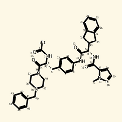 CCC(=O)N[C@H](Cc1ccc(NC(=O)[C@@H](NC(=O)c2ccnn2C)C2Cc3ccccc3C2)cc1)C(=O)N1CCN(Cc2ccccc2)CC1